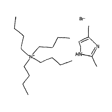 CCCC[N+](CCCC)(CCCC)CCCC.Cc1c[nH]c(C)n1.[Br-]